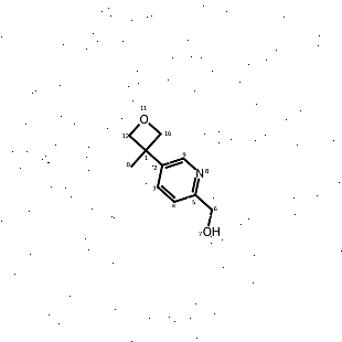 CC1(c2ccc(CO)nc2)COC1